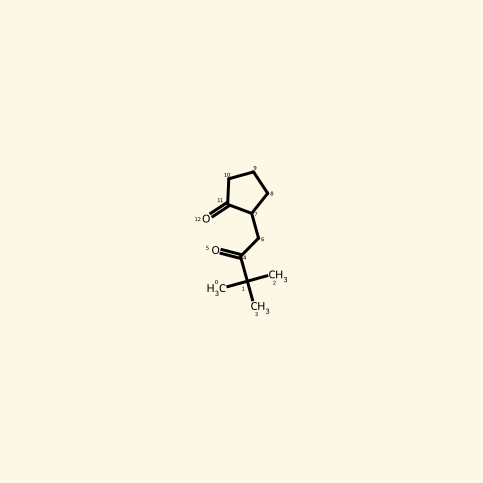 CC(C)(C)C(=O)CC1CCCC1=O